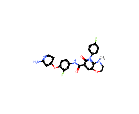 CN1CCOc2cc(C(=O)Nc3ccc(Oc4ccnc(N)c4)c(F)c3)c(=O)n(-c3ccc(F)cc3)c21